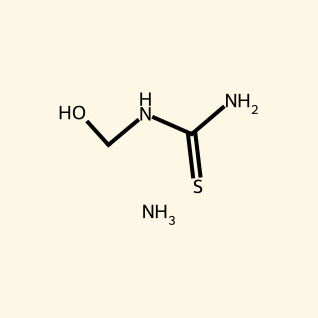 N.NC(=S)NCO